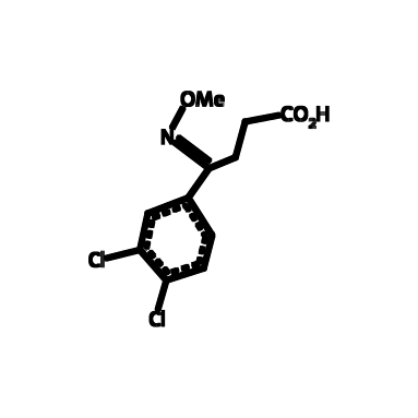 CON=C(CCC(=O)O)c1ccc(Cl)c(Cl)c1